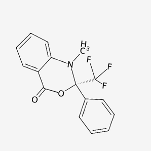 CN1c2ccccc2C(=O)O[C@@]1(c1ccccc1)C(F)(F)F